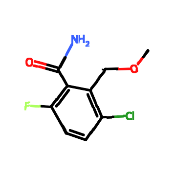 CO[CH]c1c(Cl)ccc(F)c1C(N)=O